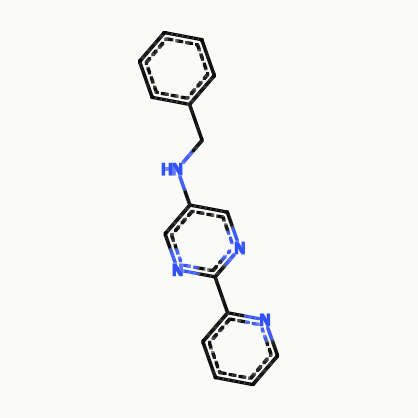 c1ccc(CNc2cnc(-c3ccccn3)nc2)cc1